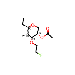 CC[C@H]1OC[C@H](OC(C)=O)[C@H](OCCF)[C@@H]1C